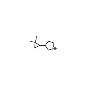 FC1(F)CC1C1CCNC1